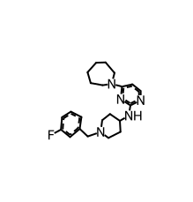 Fc1cccc(CN2CCC(Nc3nccc(N4CCCCCC4)n3)CC2)c1